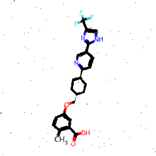 Cc1ccc(OC[C@H]2CC[C@H](c3ccc(-c4nc(C(F)(F)F)c[nH]4)cn3)CC2)cc1C(=O)O